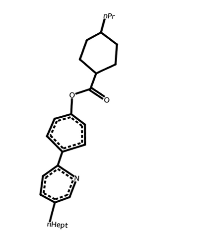 CCCCCCCc1ccc(-c2ccc(OC(=O)C3CCC(CCC)CC3)cc2)nc1